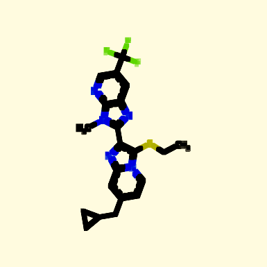 CCSc1c(-c2nc3cc(C(F)(F)F)cnc3n2C)nc2cc(CC3CC3)ccn12